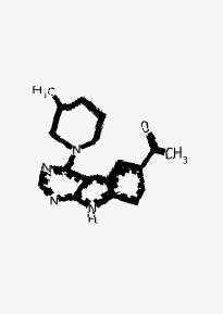 CC(=O)c1ccc2[nH]c3ncnc(N4CCCC(C)C4)c3c2c1